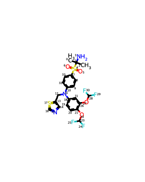 CC(C)(N)S(=O)(=O)c1ccc(N(Cc2cncs2)c2ccc(OC(F)F)c(OC(F)F)c2)cc1